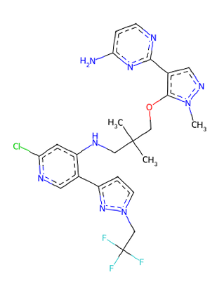 Cn1ncc(-c2nccc(N)n2)c1OCC(C)(C)CNc1cc(Cl)ncc1-c1ccn(CC(F)(F)F)n1